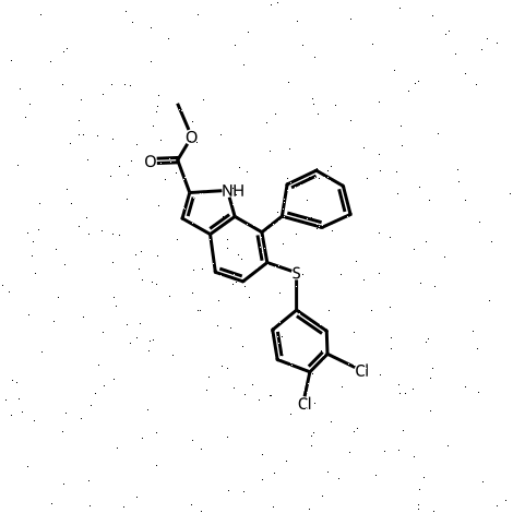 COC(=O)c1cc2ccc(Sc3ccc(Cl)c(Cl)c3)c(-c3ccccc3)c2[nH]1